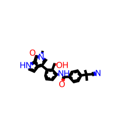 Cn1cc(-c2cccc(NC(=O)c3ccc(C(C)(C)C#N)cc3)c2CO)c2cc[nH]c2c1=O